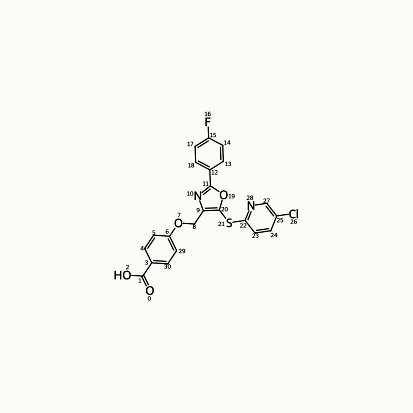 O=C(O)c1ccc(OCc2nc(-c3ccc(F)cc3)oc2Sc2ccc(Cl)cn2)cc1